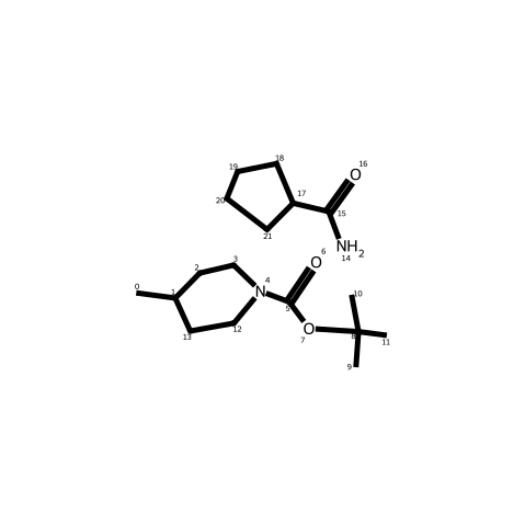 CC1CCN(C(=O)OC(C)(C)C)CC1.NC(=O)C1CCCC1